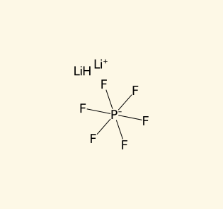 F[P-](F)(F)(F)(F)F.[Li+].[LiH]